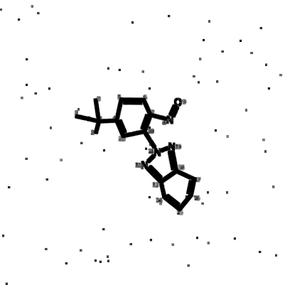 CC(C)(C)c1ccc(N=O)c(-n2nc3ccccc3n2)c1